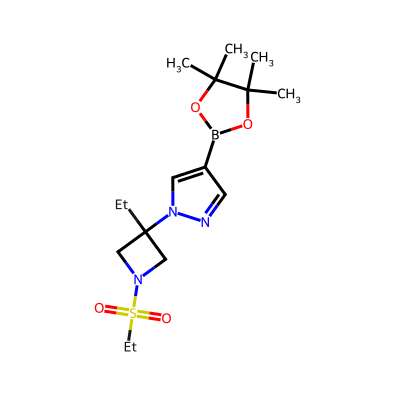 CCC1(n2cc(B3OC(C)(C)C(C)(C)O3)cn2)CN(S(=O)(=O)CC)C1